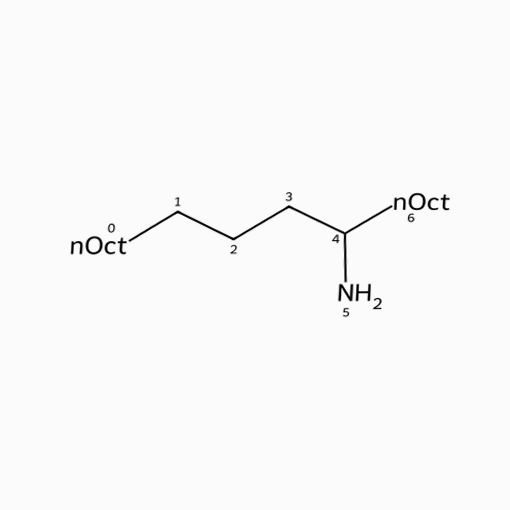 CCCCCCCCCCCC(N)CCCCCCCC